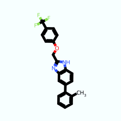 Cc1ccccc1-c1ccc2[nH]c(COc3ccc(C(F)(F)F)cc3)nc2c1